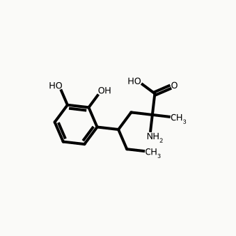 CCC(CC(C)(N)C(=O)O)c1cccc(O)c1O